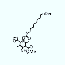 CCCCCCCCCCCCCCCCCCNC(=O)ON1C(C)=C(C(=O)OC)C(N)=C(C)C1C1CCO1